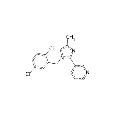 Cc1cn(Cc2cc(Cl)ccc2Cl)c(-c2cccnc2)n1